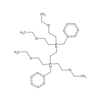 CCOCC[PH](CCOCC)(CC[PH](CCOCC)(CCOCC)Cc1ccccc1)Cc1ccccc1